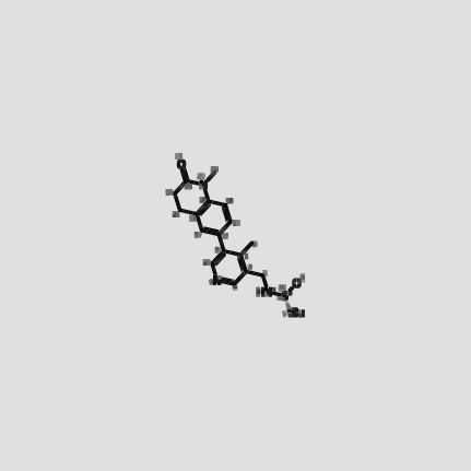 Cc1c(CN[S@+]([O-])C(C)(C)C)cncc1-c1ccc2c(c1)CCC(=O)N2C